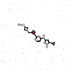 COC1CN(CC23CC(C2)N(c2nccc(Nc4cc(C5CC5)[nH]n4)n2)C3)C1